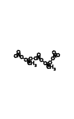 Cn1c2ccc(-c3ccc(-n4c5ccccc5c5ccccc54)cc3)cc2c2cc(-c3ccc(-n4c5ccccc5c5cc(-c6ccc7c8cc(-c9ccc(-n%10c%11ccccc%11c%11ccccc%11%10)cc9)ccc8n(C)c7c6)ccc54)cc3)ccc21